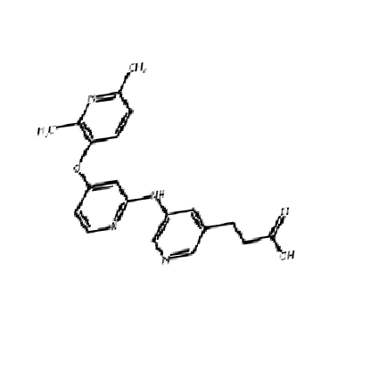 Cc1ccc(Oc2ccnc(Nc3cncc(CCC(=O)O)c3)c2)c(C)n1